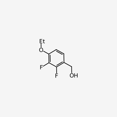 CCOc1ccc(CO)c(F)c1F